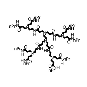 CCCNC(=O)CCN(CCNC(=O)CCN(CCC(=O)NCCN(CCC(=O)NCCC)CCC(=O)NCCC)CCN(CCC(=O)NCCN(CCC(=O)NCCC)CCC(=O)NCCC)CCC(=O)NCCN(CCC(=O)NCCC)CCC(=O)NCCC)CCC(=O)NCCC